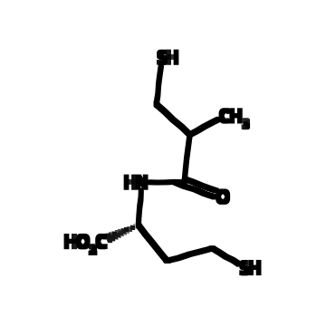 CC(CS)C(=O)N[C@H](CCS)C(=O)O